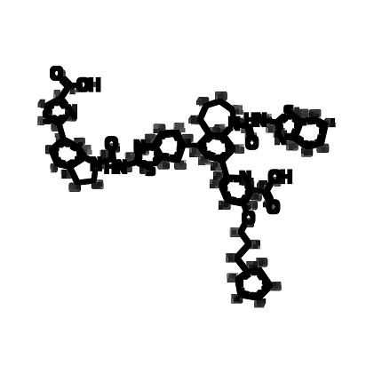 O=C(O)c1csc(-c2ccc3c(c2)N(C(=O)Nc2nc4ccc(-c5cc(-c6ccc(OCCCc7ccccc7)c(C(=O)O)n6)cc6c5CCCCN6C(=O)Nc5nc6ccccc6s5)cc4s2)CC3)n1